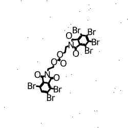 O=C(OCCN1C(=O)c2c(Br)cc(Br)c(Br)c2C1=O)OCCN1C(=O)c2c(Br)c(Br)c(Br)c(Br)c2C1=O